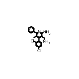 Cc1c(-c2ccccc2)nc(N)c(CN)c1-c1ccc(Cl)cc1Cl